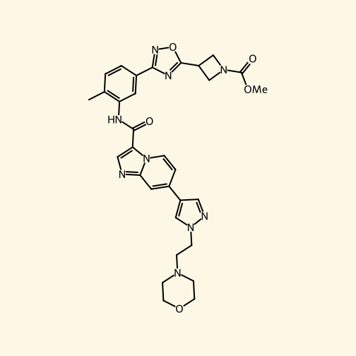 COC(=O)N1CC(c2nc(-c3ccc(C)c(NC(=O)c4cnc5cc(-c6cnn(CCN7CCOCC7)c6)ccn45)c3)no2)C1